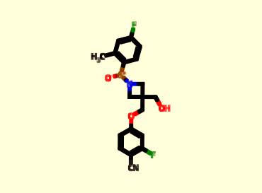 Cc1cc(F)ccc1[S+]([O-])N1CC(CO)(COc2ccc(C#N)c(F)c2)C1